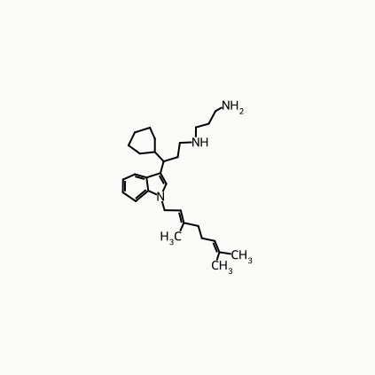 CC(C)=CCC/C(C)=C/Cn1cc(C(CCNCCCN)C2CCCCC2)c2ccccc21